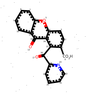 O=C(O)c1ccc2oc3ccccc3c(=O)c2c1C(=O)c1ccccn1